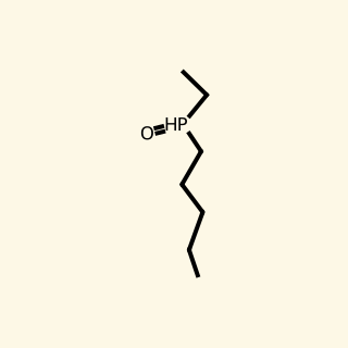 CCCCC[PH](=O)CC